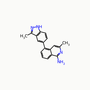 Cc1cc2c(-c3ccc4[nH]nc(C)c4c3)cccc2c(N)n1